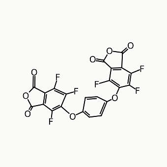 O=C1OC(=O)c2c(F)c(Oc3ccc(Oc4c(F)c(F)c5c(c4F)C(=O)OC5=O)cc3)c(F)c(F)c21